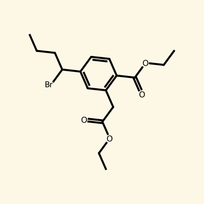 CCCC(Br)c1ccc(C(=O)OCC)c(CC(=O)OCC)c1